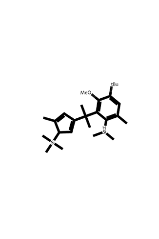 COc1c(C(C)(C)C)cc(C)c([SiH](C)C)c1C(C)(C)C1=CC([Si](C)(C)C)C(C)=C1